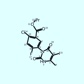 Cc1[nH]c(=O)n(-c2cc(C(=O)OC(C)C)c(Cl)cc2F)c(=O)c1I